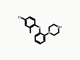 CCc1ccc(Sc2ccccc2N2CCNCC2)c(C)c1